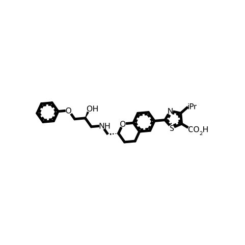 CC(C)c1nc(-c2ccc3c(c2)CC[C@H](CNC[C@H](O)COc2ccccc2)O3)sc1C(=O)O